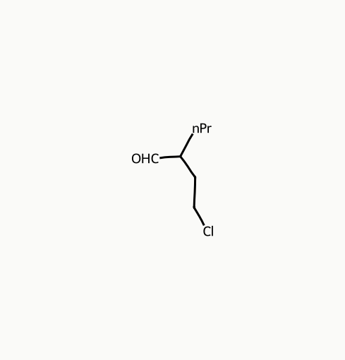 CCCC(C=O)CCCl